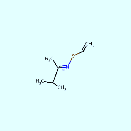 C=CS/N=C(\C)C(C)C